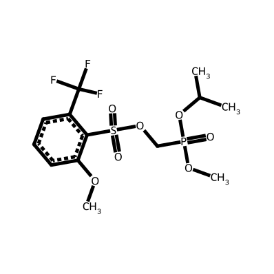 COc1cccc(C(F)(F)F)c1S(=O)(=O)OCP(=O)(OC)OC(C)C